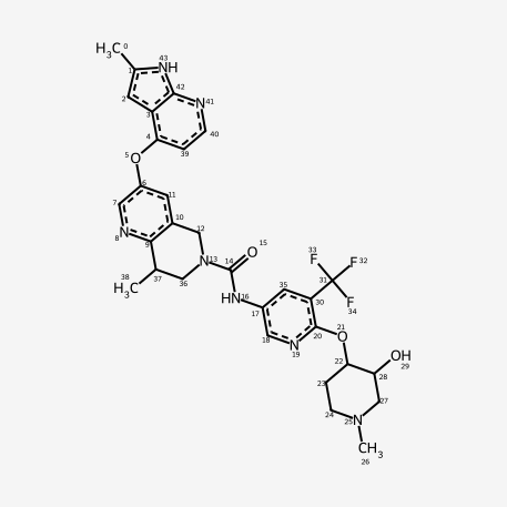 Cc1cc2c(Oc3cnc4c(c3)CN(C(=O)Nc3cnc(OC5CCN(C)CC5O)c(C(F)(F)F)c3)CC4C)ccnc2[nH]1